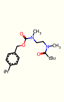 CC(C)c1ccc(COC(=O)N(C)CCN(C)C(=O)C(C)(C)C)cc1